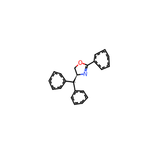 c1ccc([C](c2ccccc2)[C@H]2COC(c3ccccc3)=N2)cc1